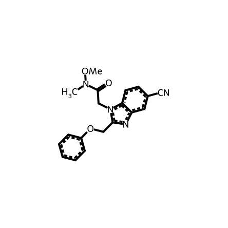 CON(C)C(=O)Cn1c(COc2ccccc2)nc2cc(C#N)ccc21